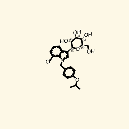 CC(C)Oc1ccc(Cn2cc([C@@H]3O[C@H](CO)[C@@H](O)[C@H](O)[C@H]3O)c3cccc(Cl)c32)cc1